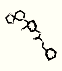 O=C(Nc1ccc(N2CCCC3(C2)OCCO3)c(F)c1)OCc1ccccc1